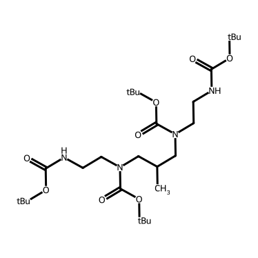 CC(CN(CCNC(=O)OC(C)(C)C)C(=O)OC(C)(C)C)CN(CCNC(=O)OC(C)(C)C)C(=O)OC(C)(C)C